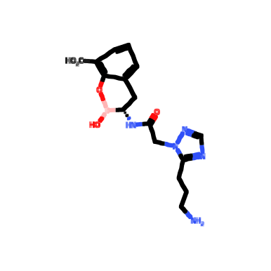 NCCCc1ncnn1CC(=O)N[C@H]1Cc2cccc(C(=O)O)c2OB1O